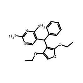 CCOc1coc(OCC)c1C(c1ccccc1)c1cnc(N)nc1N